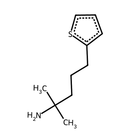 CC(C)(N)CCCc1cccs1